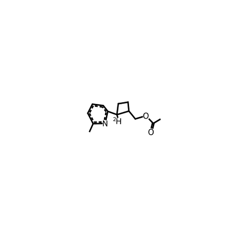 [2H]C1(c2cccc(C)n2)CCC1COC(C)=O